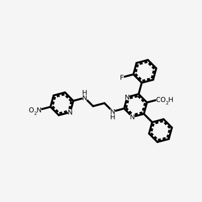 O=C(O)c1c(-c2ccccc2)nc(NCCNc2ccc([N+](=O)[O-])cn2)nc1-c1ccccc1F